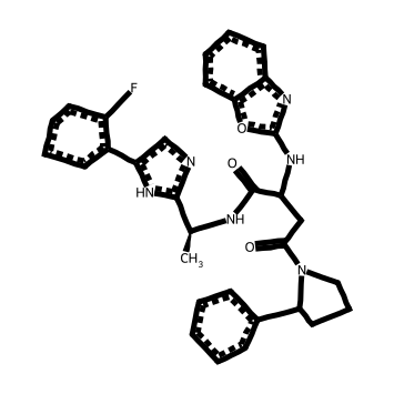 C[C@H](NC(=O)C(CC(=O)N1CCCC1c1ccccc1)Nc1nc2ccccc2o1)c1ncc(-c2ccccc2F)[nH]1